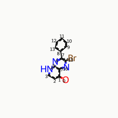 O=c1cc[nH]c2nc(-c3ccccc3)c(Br)nc12